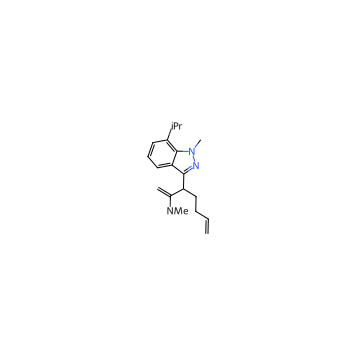 C=CCCC(C(=C)NC)c1nn(C)c2c(C(C)C)cccc12